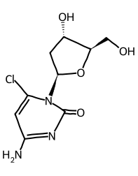 Nc1cc(Cl)n([C@H]2C[C@H](O)[C@@H](CO)O2)c(=O)n1